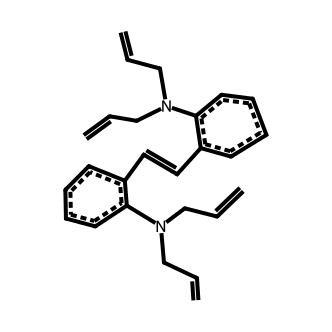 C=CCN(CC=C)c1ccccc1/C=C/c1ccccc1N(CC=C)CC=C